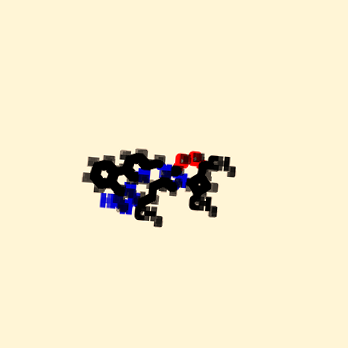 CCCCc1cn(C2C(C)CC2C(C)=O)c(=O)n1Cc1ccc(-c2ccccc2-c2nnn[nH]2)cn1